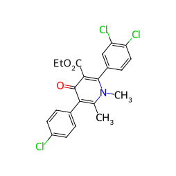 CCOC(=O)c1c(-c2ccc(Cl)c(Cl)c2)n(C)c(C)c(-c2ccc(Cl)cc2)c1=O